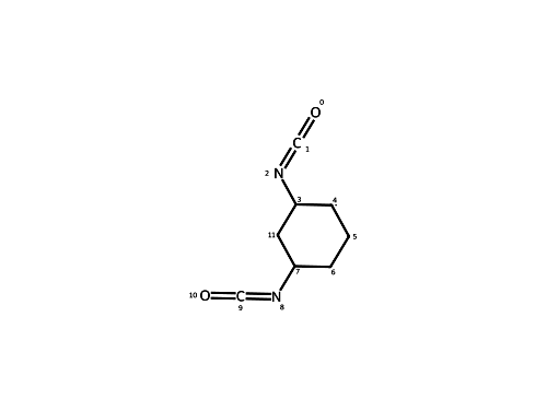 O=C=NC1[CH]CCC(N=C=O)C1